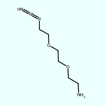 N=[N+]=NCCOCCOCCN